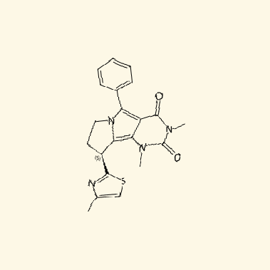 Cc1csc([C@H]2CCn3c(-c4ccccc4)c4c(=O)n(C)c(=O)n(C)c4c32)n1